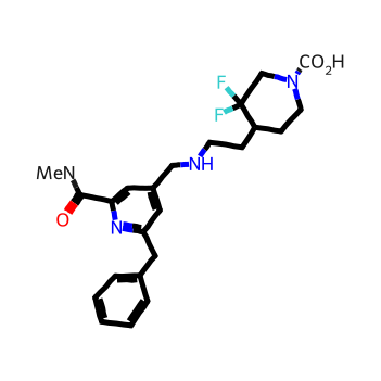 CNC(=O)c1cc(CNCCC2CCN(C(=O)O)CC2(F)F)cc(Cc2ccccc2)n1